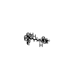 CCOC(=O)C(O)(CCCCCCNC(=O)OC(C)(C)C)C(=O)O